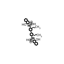 CCCc1cc(-c2ccc(/N=N/c3c(S(=O)(=O)O)cc4ccccc4c3O)c(CCC)c2)ccc1/N=N/c1c(S(=O)(=O)O)cc2ccccc2c1O